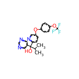 CC(C)C(O)(c1cncnc1)c1ccc(Oc2ccc(OC(F)(F)F)cc2)cn1